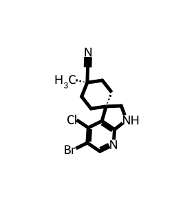 C[C@]1(C#N)CC[C@]2(CC1)CNc1ncc(Br)c(Cl)c12